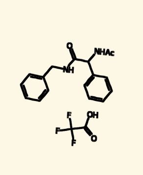 CC(=O)NC(C(=O)NCc1ccccc1)c1ccccc1.O=C(O)C(F)(F)F